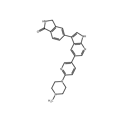 CN1CCN(c2ccc(-c3cnc4[nH]cc(-c5ccc6c(c5)CNC6=O)c4c3)cn2)CC1